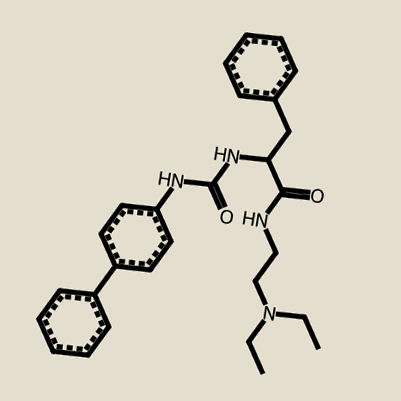 CCN(CC)CCNC(=O)C(Cc1ccccc1)NC(=O)Nc1ccc(-c2ccccc2)cc1